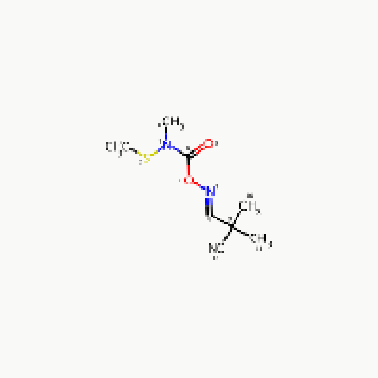 CN(SC(Cl)(Cl)Cl)C(=O)O/N=C/C(C)(C)C#N